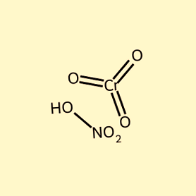 O=[N+]([O-])O.[O]=[Cr](=[O])=[O]